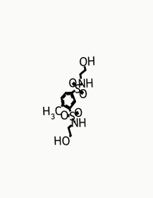 Cc1ccc(S(=O)(=O)NCCO)cc1S(=O)(=O)NCCO